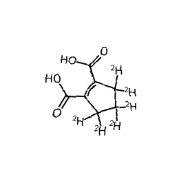 [2H]C1([2H])C(C(=O)O)=C(C(=O)O)C([2H])([2H])C1([2H])[2H]